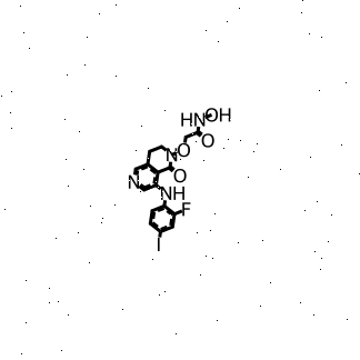 O=C(CON1CCc2cncc(Nc3ccc(I)cc3F)c2C1=O)NO